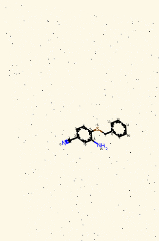 N#Cc1ccc(SCc2ccccc2)c(N)c1